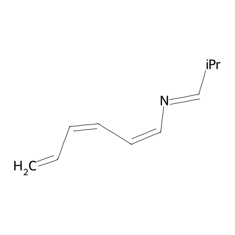 C=C\C=C/C=C\N=C\C(C)C